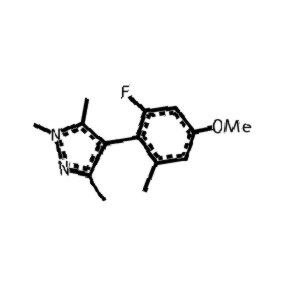 COc1cc(C)c(-c2c(C)nn(C)c2C)c(F)c1